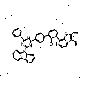 C=Cc1sc2c(-c3cccc(-c4ccc(-c5nc(-c6ccccc6)nc(-n6c7ccccc7c7ccccc76)n5)cc4)c3O)cccc2c1C=C